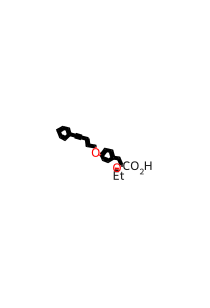 CCOC(Cc1ccc(OCC=CC#Cc2ccccc2)cc1)C(=O)O